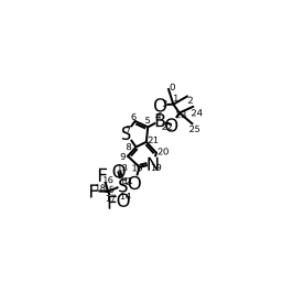 CC1(C)OB(c2csc3cc(OS(=O)(=O)C(F)(F)F)ncc23)OC1(C)C